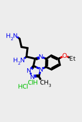 CCOc1ccc2c(c1)nc(C(N)CCCN)c1nnc(C)n12.Cl.Cl